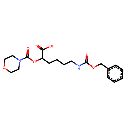 O=C(NCCCCC(OC(=O)N1CCOCC1)C(=O)O)OCc1ccccc1